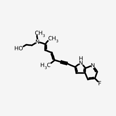 C/C(C#Cc1cc2cc(F)cnc2[nH]1)=C\C=C(/C)N(C)CCO